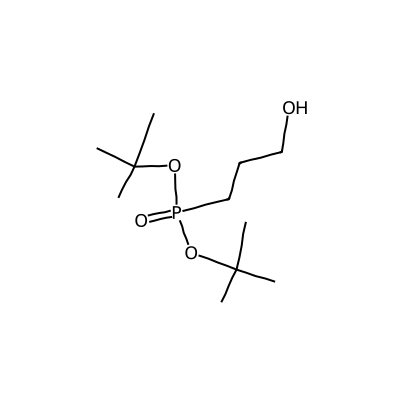 CC(C)(C)OP(=O)(CCCO)OC(C)(C)C